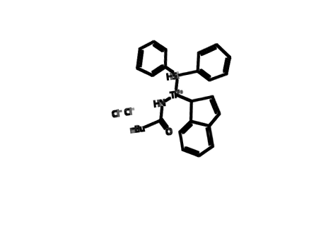 CCCCC(=O)[NH][Ti+2]([CH]1C=Cc2ccccc21)[SiH](c1ccccc1)c1ccccc1.[Cl-].[Cl-]